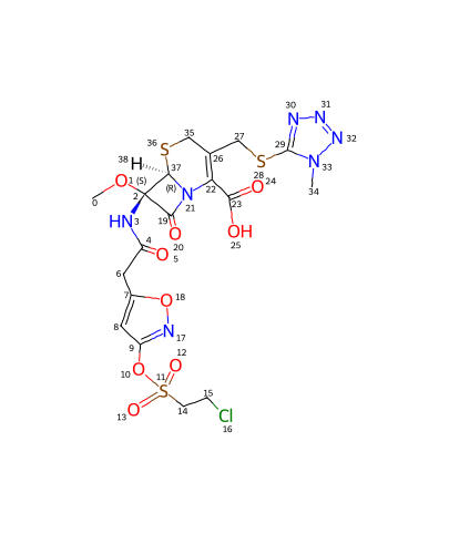 CO[C@@]1(NC(=O)Cc2cc(OS(=O)(=O)CCCl)no2)C(=O)N2C(C(=O)O)=C(CSc3nnnn3C)CS[C@@H]21